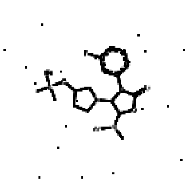 CC(=O)N(C)C1OC(=O)N(c2cccc(F)c2)C1N1CCC(O[Si](C)(C)C(C)(C)C)C1